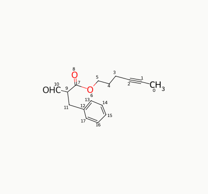 CC#CCCCOC(=O)C(C=O)Cc1ccccc1